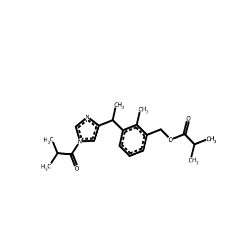 Cc1c(COC(=O)C(C)C)cccc1C(C)c1cn(C(=O)C(C)C)cn1